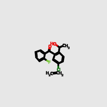 C=C.CC(O)c1ccc(Cl)cc1C(=O)c1ccccc1F